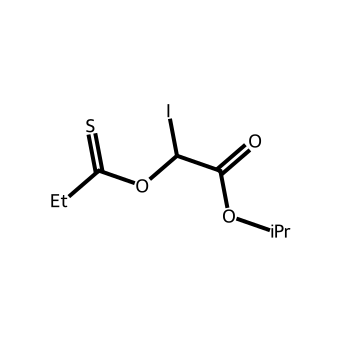 CCC(=S)OC(I)C(=O)OC(C)C